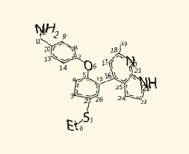 CCSc1ccc(Oc2ccc(CN)cc2)c(-c2cc(C)nc3[nH]ccc23)c1